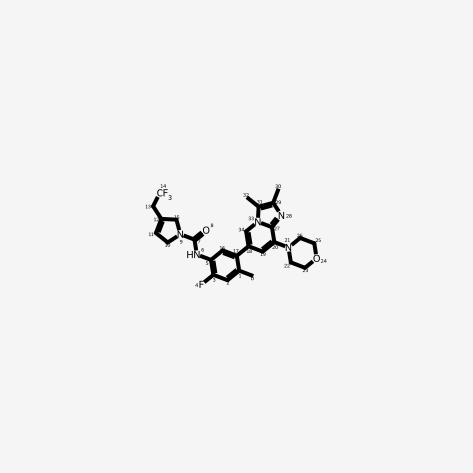 Cc1cc(F)c(NC(=O)N2CC=C(CC(F)(F)F)C2)cc1-c1cc(N2CCOCC2)c2nc(C)c(C)n2c1